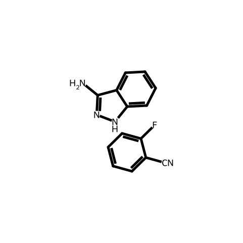 N#Cc1ccccc1F.Nc1n[nH]c2ccccc12